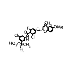 COc1ccc2c(c1)N(C)C[C@@H](COc1cc(F)c(C(=O)Nc3cc(Cl)cc(C(C)(C)C(=O)O)c3)c(Cl)c1)O2